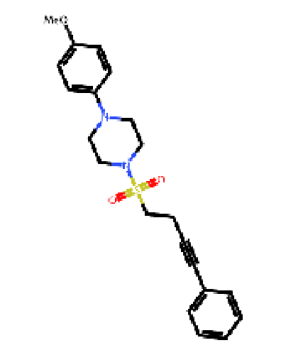 COc1ccc(N2CCN(S(=O)(=O)C[CH]C#Cc3ccccc3)CC2)cc1